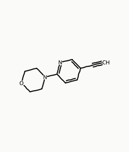 C#Cc1ccc(N2CCOCC2)nc1